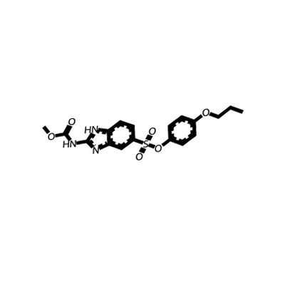 CCCOc1ccc(OS(=O)(=O)c2ccc3[nH]c(NC(=O)OC)nc3c2)cc1